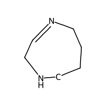 C1=N\CCCCNC/1